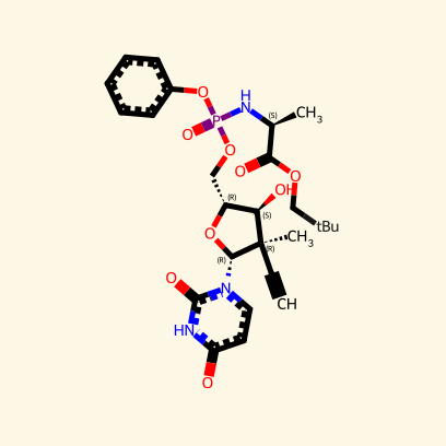 C#C[C@]1(C)[C@H](O)[C@@H](COP(=O)(N[C@@H](C)C(=O)OCC(C)(C)C)Oc2ccccc2)O[C@H]1n1ccc(=O)[nH]c1=O